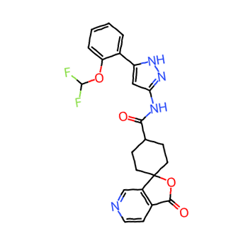 O=C1OC2(CCC(C(=O)Nc3cc(-c4ccccc4OC(F)F)[nH]n3)CC2)c2cnccc21